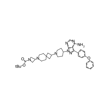 CC(C)(C)OC(=O)N1CC(N2CCC3(CC2)CC(N2CCC(n4nc(-c5ccc(Oc6ccccc6)cc5)c5c(N)ncnc54)CC2)C3)C1